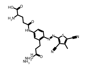 Cc1c(C#N)sc(N=Nc2ccc(NC(=O)CCC(N)C(=O)O)cc2CCC(=O)O)c1C#N.N.N